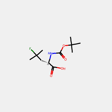 CC(C)(F)C[C@H](NC(=O)OC(C)(C)C)C(=O)O